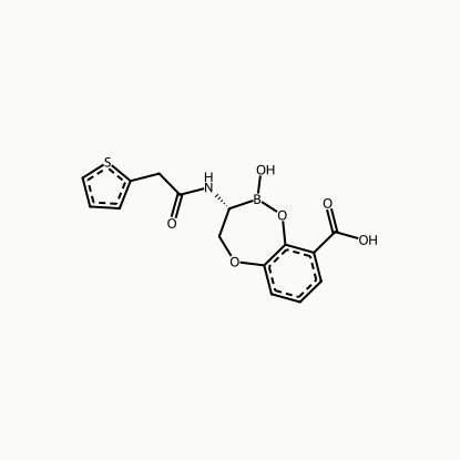 O=C(Cc1cccs1)N[C@H]1COc2cccc(C(=O)O)c2OB1O